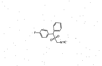 [C-]#[N+]CS(=O)(=O)C(c1ccccc1)c1ccc(F)cc1